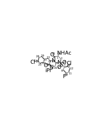 CC(=O)NC1CN(S(=O)(=O)c2cc(F)ccc2Cl)C2CN(C(C)C)C(=O)C(Cc3ccc(Cl)cc3)N2C1=O